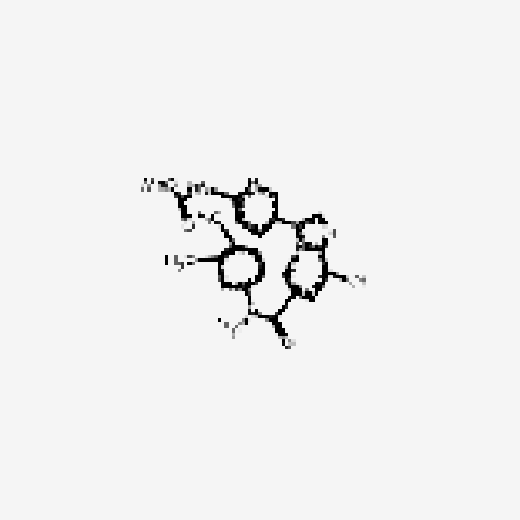 COC(=O)Nc1ccc(-c2cnc3c(C)cc(C(=O)N(C)c4ccc(C#N)c(C)c4)cn23)cn1